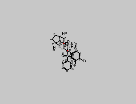 N[C@H](Cc1cc(F)c(F)cc1F)[C@@H]1C[C@H]2CC[C@@H](C1)N2C(=O)CCS(=O)(=O)c1ncccn1